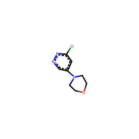 Clc1cc(N2CCOCC2)cnn1